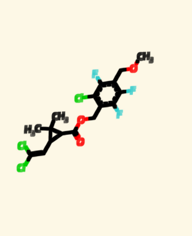 COCc1c(F)c(F)c(COC(=O)C2C(C=C(Cl)Cl)C2(C)C)c(Cl)c1F